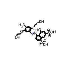 Nc1cc(OCCO)c(/N=N/c2ccc(S(=O)(=O)O)c3cc(S(=O)(=O)O)cc(O)c23)cc1OCCO